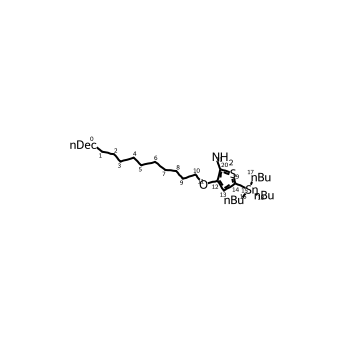 CCCCCCCCCCCCCCCCCCCCOc1c[c]([Sn]([CH2]CCC)([CH2]CCC)[CH2]CCC)sc1N